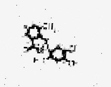 Cc1cc(C)c(OCc2c(C)cccc2C(=O)Br)cc1Cl